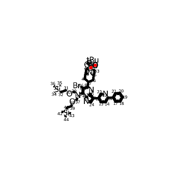 CC(C)(C)OC(=O)N1C2CC(c3nc4c(-c5ccc(-c6ccccc6)nc5)cnn4c(N(COCC[Si](C)(C)C)COCC[Si](C)(C)C)c3Br)CC1CS(=O)(=O)C2